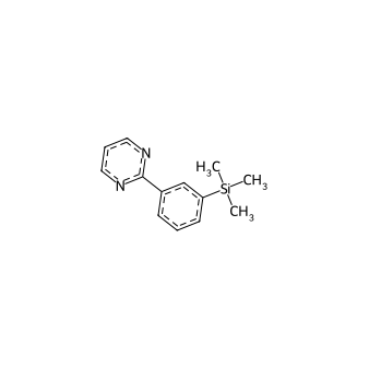 C[Si](C)(C)c1cccc(-c2ncccn2)c1